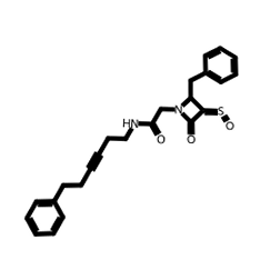 O=S=C1C(=O)N(CC(=O)NCCC#CCCc2ccccc2)C1Cc1ccccc1